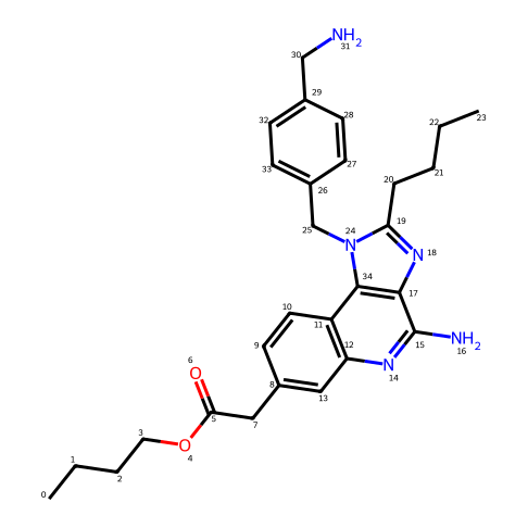 CCCCOC(=O)Cc1ccc2c(c1)nc(N)c1nc(CCCC)n(Cc3ccc(CN)cc3)c12